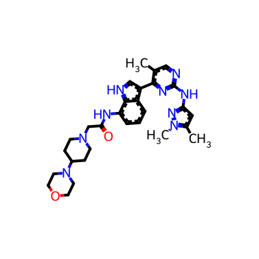 Cc1cnc(Nc2cc(C)n(C)n2)nc1-c1c[nH]c2c(NC(=O)CN3CCC(N4CCOCC4)CC3)cccc12